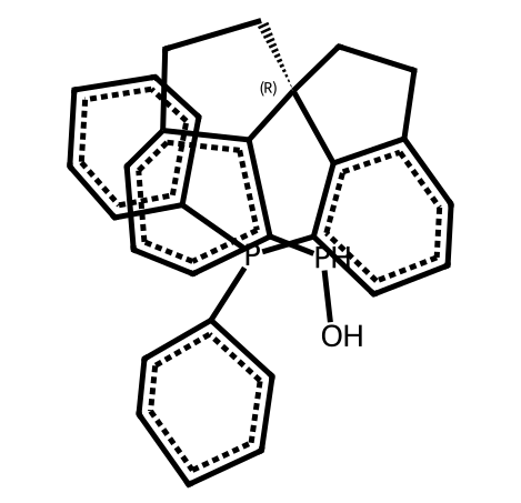 OPc1cccc2c1[C@@]1(CC2)CCc2cccc(P(c3ccccc3)c3ccccc3)c21